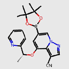 C[C@@H](Oc1cc(B2OC(C)(C)C(C)(C)O2)cn2ncc(C#N)c12)c1ccccn1